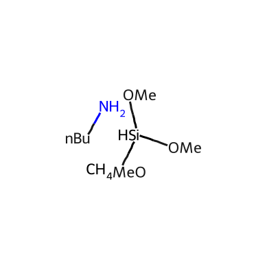 C.CCCCN.CO[SiH](OC)OC